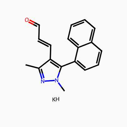 Cc1nn(C)c(-c2cccc3ccccc23)c1/C=C/C=O.[KH]